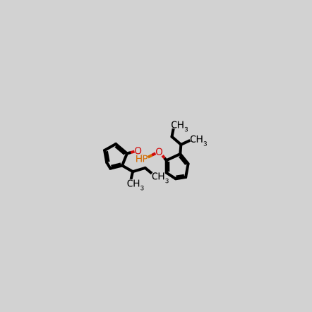 CCC(C)c1ccccc1OPOc1ccccc1C(C)CC